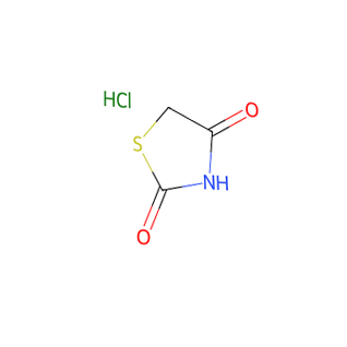 Cl.O=C1CSC(=O)N1